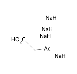 CC(=O)CC(=O)O.[NaH].[NaH].[NaH].[NaH]